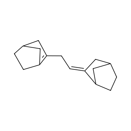 C(CC1=C2CCC(C1)C2)=C1CC2CCC1C2